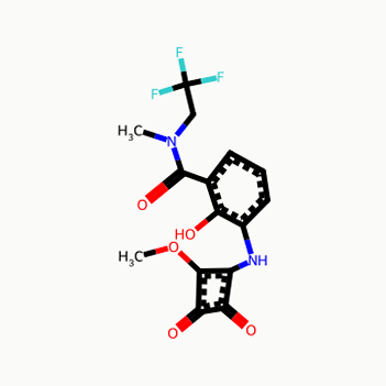 COc1c(Nc2cccc(C(=O)N(C)CC(F)(F)F)c2O)c(=O)c1=O